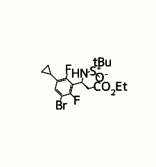 CCOC(=O)C[C@H](N[S@+]([O-])C(C)(C)C)c1c(F)c(Br)cc(C2CC2)c1F